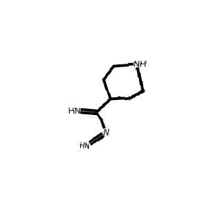 N=NC(=N)C1CCNCC1